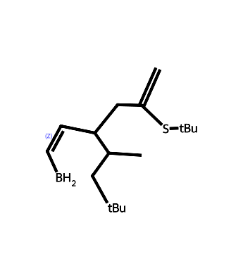 B/C=C\C(CC(=C)SC(C)(C)C)C(C)CC(C)(C)C